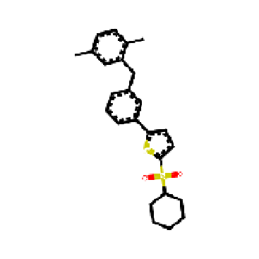 Cc1ccc(C)c(Cc2cccc(-c3ccc(S(=O)(=O)C4CCCCC4)s3)c2)c1